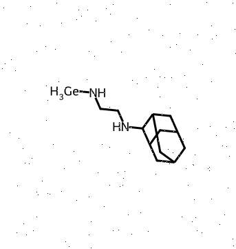 [GeH3][NH]CCNC1C2CC3CC(C2)CC1C3